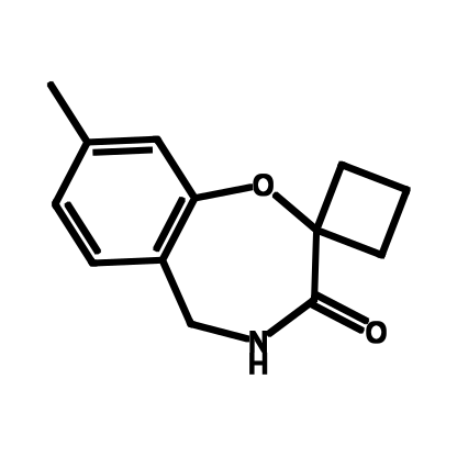 Cc1ccc2c(c1)OC1(CCC1)C(=O)NC2